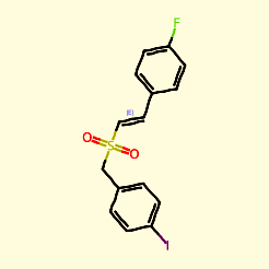 O=S(=O)(/C=C/c1ccc(F)cc1)Cc1ccc(I)cc1